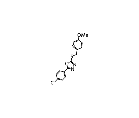 COc1ccc(CSc2nnc(-c3ccc(Cl)cc3)o2)nc1